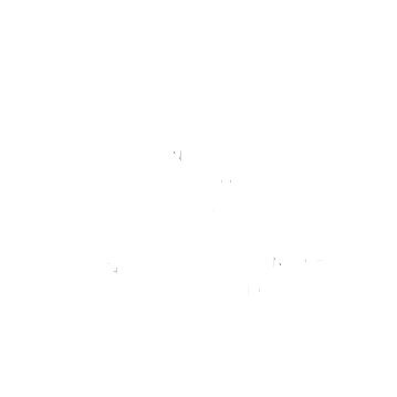 CN(C)/C=C/C(=O)c1cc(Br)c(C(F)(F)F)cc1NC(=O)C(F)(F)F